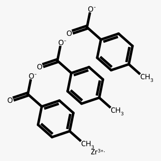 Cc1ccc(C(=O)[O-])cc1.Cc1ccc(C(=O)[O-])cc1.Cc1ccc(C(=O)[O-])cc1.[Zr+3]